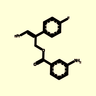 CCC/C=C(\COC(=O)c1cccc(N)c1)c1ccc(F)cc1